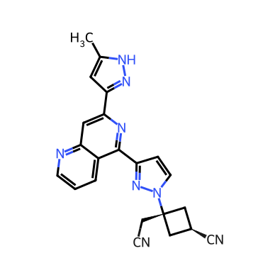 Cc1cc(-c2cc3ncccc3c(-c3ccn([C@]4(CC#N)C[C@@H](C#N)C4)n3)n2)n[nH]1